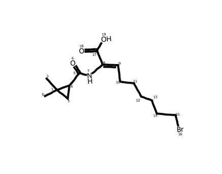 CC1(C)CC1C(=O)N/C(=C\CCCCCCBr)C(=O)O